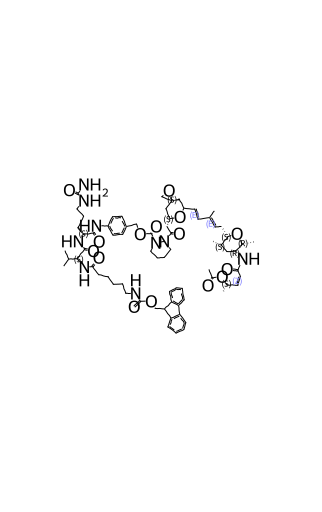 CC(=O)O[C@@H](C)/C=C\C(=O)N[C@@H]1C[C@H](C)[C@H](C/C=C(C)/C=C/C2C[C@]3(CO3)C[C@@H](CC(=O)N3CCCCN3C(=O)OCc3ccc(NC(=O)[C@H](CCCNC(N)=O)NC(=O)[C@@H](NC(=O)CCCCCNC(=O)OCC4c5ccccc5-c5ccccc54)C(C)C)cc3)O2)O[C@@H]1C